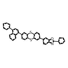 c1ccc(-c2nc3ccc(-c4ccc5c(c4)Sc4ccc(-c6ccc(-c7ccccc7)c7ccccc67)cc4S5)cc3o2)cc1